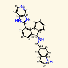 c1ccc2c(c1)-c1c(-c3nc4cnccc4[nH]3)cccc1C2NCc1ccc2[nH]ccc2c1